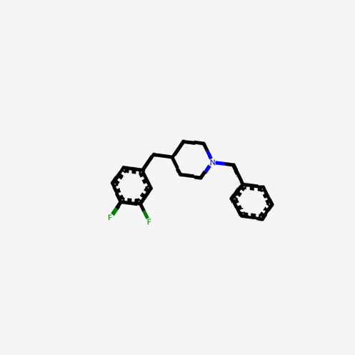 Fc1ccc(CC2CCN(Cc3ccccc3)CC2)cc1F